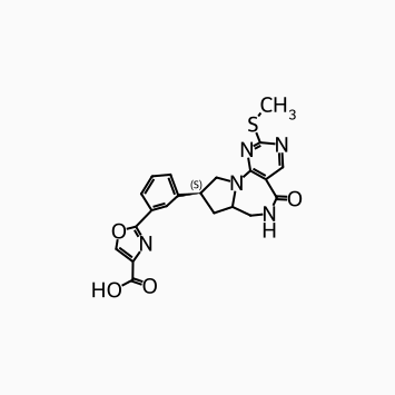 CSc1ncc2c(n1)N1C[C@H](c3cccc(-c4nc(C(=O)O)co4)c3)CC1CNC2=O